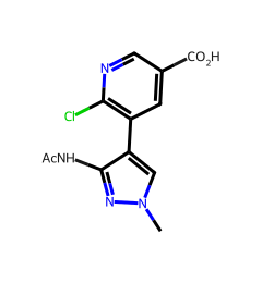 CC(=O)Nc1nn(C)cc1-c1cc(C(=O)O)cnc1Cl